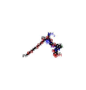 CC[C@@]1(O)C(=O)OCc2c1cc1n(c2=O)Cc2c-1nc1cc(F)c(C)c3c1c2[C@@H](NC(=O)Oc1ccc(NC(=O)[C@H](CCCCN)NC(=O)[C@@H](NC(=O)CCOCCOCCOCCCCCOCCOCCC(C)C)C(C)C)cc1)CC3